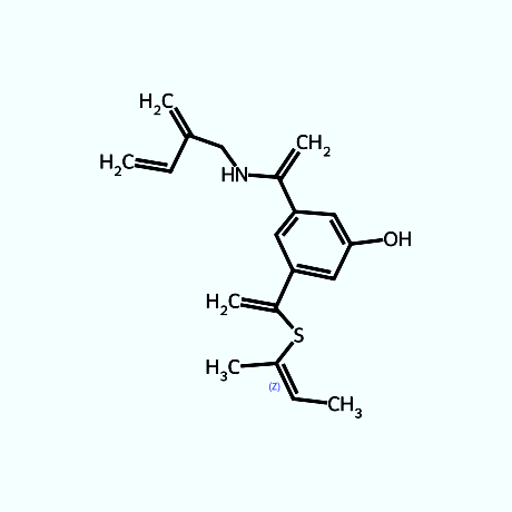 C=CC(=C)CNC(=C)c1cc(O)cc(C(=C)S/C(C)=C\C)c1